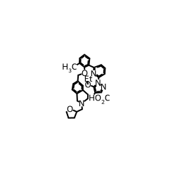 CCOc1c(C(=O)O)cnn1-c1cccc(-c2cccc(C)c2OCc2ccc3c(c2)CCN(CC2CCCO2)C3)n1